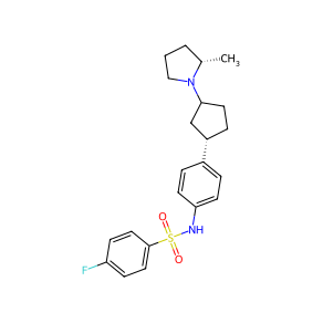 C[C@H]1CCCN1C1CC[C@H](c2ccc(NS(=O)(=O)c3ccc(F)cc3)cc2)C1